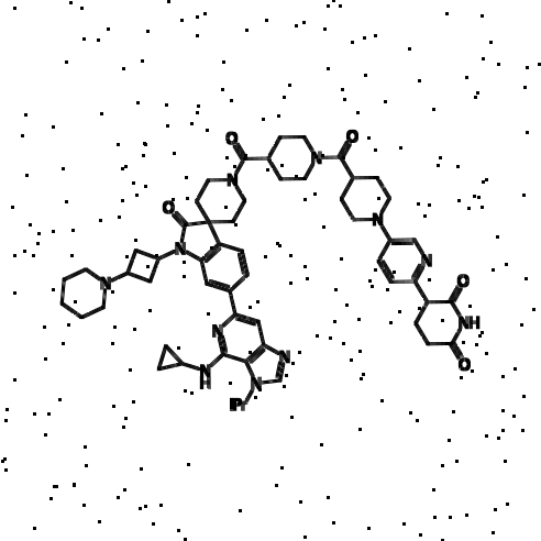 CC(C)n1cnc2cc(-c3ccc4c(c3)N(C3CC(N5CCCCC5)C3)C(=O)C43CCN(C(=O)C4CCN(C(=O)C5CCN(c6ccc(C7CCC(=O)NC7=O)nc6)CC5)CC4)CC3)nc(NC3CC3)c21